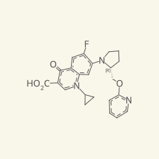 O=C(O)c1cn(C2CC2)c2cc(N3CCC[C@@H]3COc3ccccn3)c(F)cc2c1=O